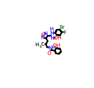 CC(CNC(=O)c1ccccc1O)Cc1nonc1C(=NO)Nc1ccc(F)c(Br)c1